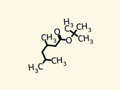 CC(C)CC(C)CC(=O)OC(C)(C)C